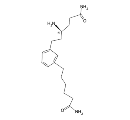 NC(=O)CCCCCc1cccc(CC[C@@H](N)CCC(N)=O)c1